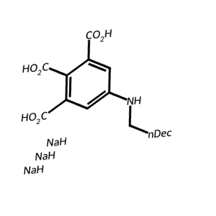 CCCCCCCCCCCNc1cc(C(=O)O)c(C(=O)O)c(C(=O)O)c1.[NaH].[NaH].[NaH]